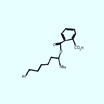 CCCCC(CCCCCC(C)C)OC(=O)c1ccccc1C(=O)O